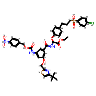 CCOC(=O)C(NC(=O)c1cc(NC(=O)OCc2ccc([N+](=O)[O-])cc2)cc(OCc2nc(C(C)(C)C)cs2)c1)Oc1ccc(CCCS(=O)(=O)c2ccc(Cl)cc2)cc1